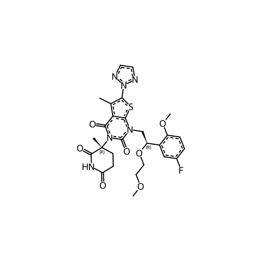 COCCO[C@@H](Cn1c(=O)n([C@]2(C)CCC(=O)NC2=O)c(=O)c2c(C)c(-n3nccn3)sc21)c1cc(F)ccc1OC